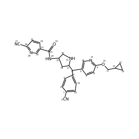 N#Cc1ccc(C(c2ccc(OCC3CC3)nc2)C2CC(NC(=O)c3ccc(C#N)nc3)CN2)cc1